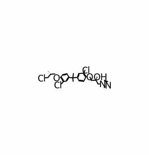 C[C@@H](CCl)COc1ccc(C(C)(C)c2ccc(OC[C@@H](O)Cn3ccnc3)c(Cl)c2)cc1Cl